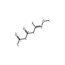 CO/N=C(\C)CC(=O)CC(C)=O